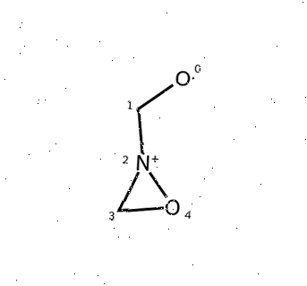 [O]C[N+]1CO1